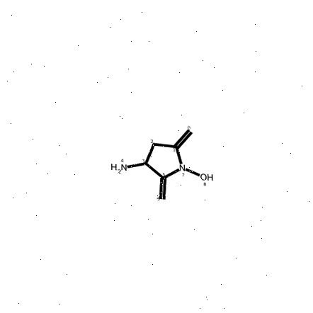 C=C1CC(N)C(=C)N1O